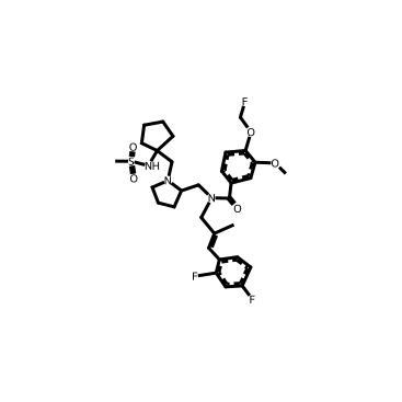 COc1cc(C(=O)N(C/C(C)=C/c2ccc(F)cc2F)CC2CCCN2CC2(NS(C)(=O)=O)CCCC2)ccc1OCF